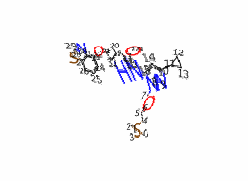 CS(C)(C)CCOCn1nc(C2CC2)cc1NC(=O)[C@H]1C[C@H](Oc2cccc3scnc23)C1